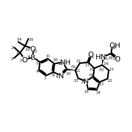 CC1(C)OB(c2ccc3nc([C@H]4CC(=O)C5c6c(ccn6C4)CC[C@@H]5NC(=O)O)[nH]c3c2)OC1(C)C